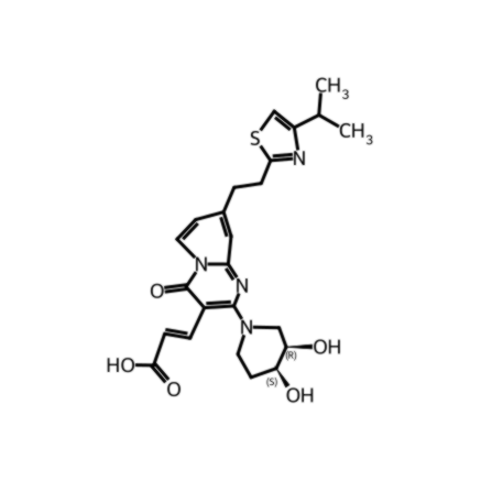 CC(C)c1csc(CCc2ccn3c(=O)c(C=CC(=O)O)c(N4CC[C@H](O)[C@H](O)C4)nc3c2)n1